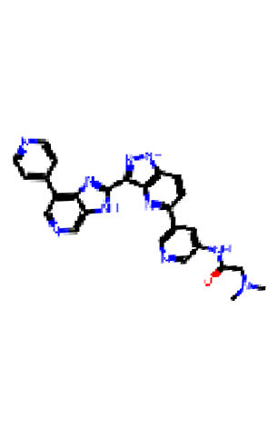 CN(C)CC(=O)Nc1cncc(-c2ccc3[nH]nc(-c4nc5c(-c6ccncc6)cncc5[nH]4)c3n2)c1